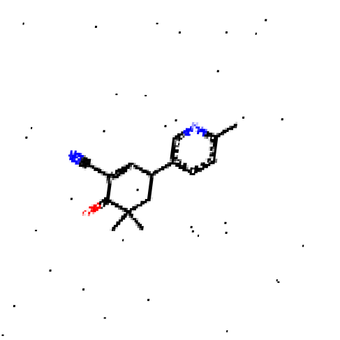 Cc1ccc(C2C=C(C#N)C(=O)C(C)(C)C2)cn1